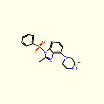 Cc1nc2c(N3CCN[C@@H](C)C3)cccc2n1S(=O)(=O)c1ccccc1